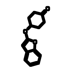 O=C1CCC(Oc2cc3ccccc3o2)CC1